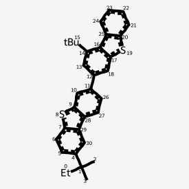 CCC(C)(C)c1ccc2sc3cc(-c4cc(C(C)(C)C)c5c(c4)sc4ccccc45)ccc3c2c1